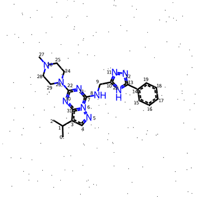 CC(C)c1cnn2c(NCc3nnc(-c4ccccc4)[nH]3)nc(N3CCN(C)CC3)nc12